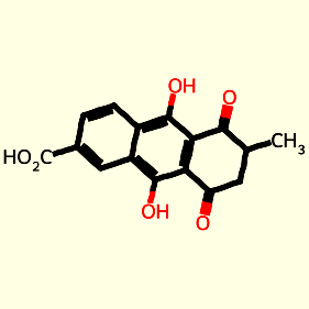 CC1CC(=O)c2c(c(O)c3ccc(C(=O)O)cc3c2O)C1=O